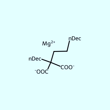 CCCCCCCCCCCCC(CCCCCCCCCC)(C(=O)[O-])C(=O)[O-].[Mg+2]